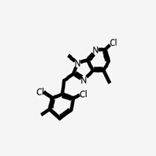 Cc1ccc(Cl)c(Cc2nc3c(C)cc(Cl)nc3n2C)c1Cl